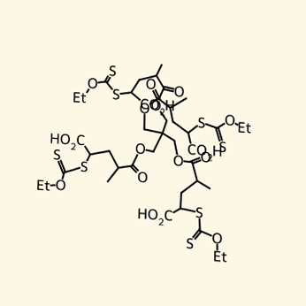 CCOC(=S)SC(CC(C)C(=O)OCC(COC(=O)C(C)CC(SC(=S)OCC)C(=O)O)(COC(=O)C(C)CC(SC(=S)OCC)C(=O)O)COC(=O)C(C)CC(SC(=S)OCC)C(=O)O)C(=O)O